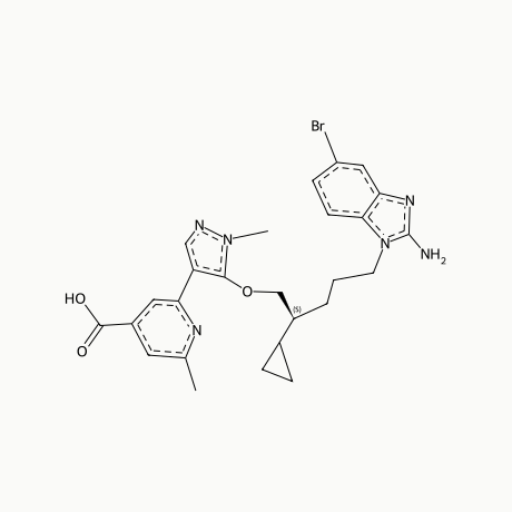 Cc1cc(C(=O)O)cc(-c2cnn(C)c2OC[C@@H](CCCn2c(N)nc3cc(Br)ccc32)C2CC2)n1